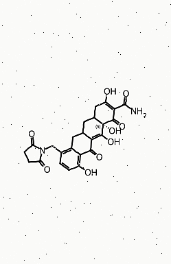 NC(=O)C1=C(O)CC2CC3Cc4c(CN5C(=O)CCC5=O)ccc(O)c4C(=O)C3=C(O)[C@]2(O)C1=O